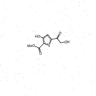 COC(=O)c1sc(C(=O)CO)cc1O